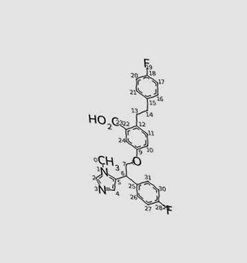 Cn1cncc1C(COc1ccc(CCc2ccc(F)cc2)c(C(=O)O)c1)c1ccc(F)cc1